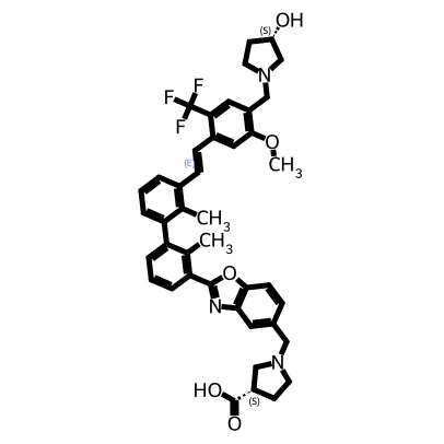 COc1cc(/C=C/c2cccc(-c3cccc(-c4nc5cc(CN6CC[C@H](C(=O)O)C6)ccc5o4)c3C)c2C)c(C(F)(F)F)cc1CN1CC[C@H](O)C1